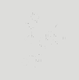 C#CCN1C[C@H]2CCCN2[C@@]12C[C@@H](C(=O)N(C(=O)[C@@H](NC(=O)[C@@H](NC(=O)c1cnccn1)C1CCCCC1)C(C)(C)C)C(CCC)C(=O)C(=O)N[C@@H](C)c1ccccc1)NC2=O